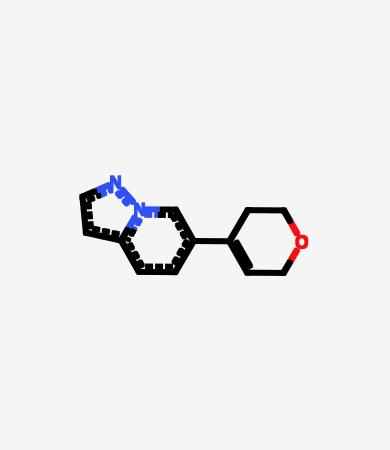 C1=C(c2ccc3ccnn3c2)CCOC1